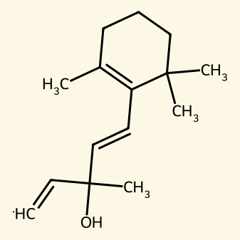 [CH]=CC(C)(O)/C=C/C1=C(C)CCCC1(C)C